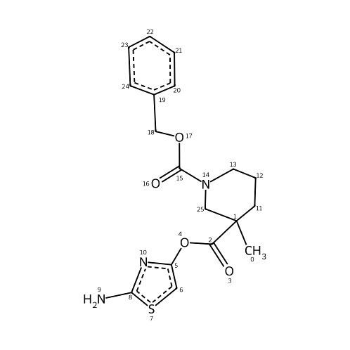 CC1(C(=O)Oc2csc(N)n2)CCCN(C(=O)OCc2ccccc2)C1